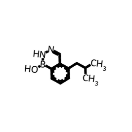 CC(C)Cc1cccc2c1C=NNB2O